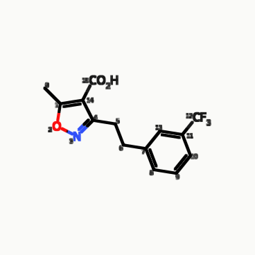 Cc1onc(CCc2cccc(C(F)(F)F)c2)c1C(=O)O